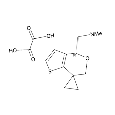 CNC[C@@H]1OCC2(CC2)c2sccc21.O=C(O)C(=O)O